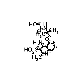 Cc1nc2cccc(OCC(C)(C)NC(=O)CO)c2c(N)c1C(=O)O